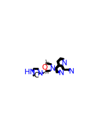 C[C@@H]1CN(c2cnc(C#N)c3ncccc23)C[C@H](CN2CCNCC2)O1